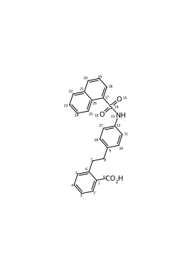 O=C(O)c1ccccc1CCc1ccc(NS(=O)(=O)c2cccc3ccccc23)cc1